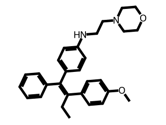 CC/C(=C(\c1ccccc1)c1ccc(NCCN2CCOCC2)cc1)c1ccc(OC)cc1